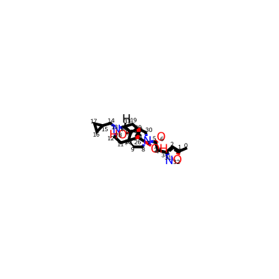 Cc1cc(CC(=O)N2CC[C@]34CCN(CC5CC5)[C@H](Cc5ccc(O)cc53)[C@]4(O)CC2)no1